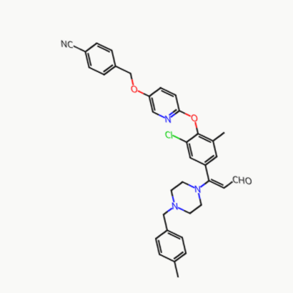 Cc1ccc(CN2CCN(C(=CC=O)c3cc(C)c(Oc4ccc(OCc5ccc(C#N)cc5)cn4)c(Cl)c3)CC2)cc1